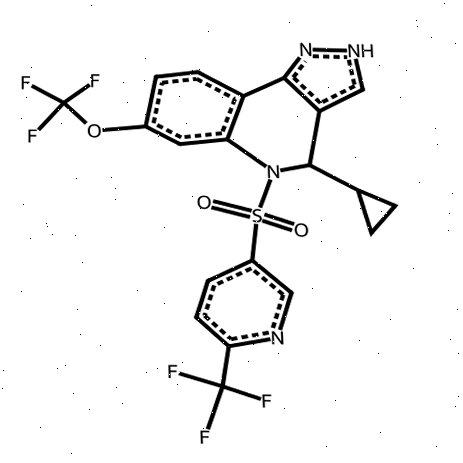 O=S(=O)(c1ccc(C(F)(F)F)nc1)N1c2cc(OC(F)(F)F)ccc2-c2n[nH]cc2C1C1CC1